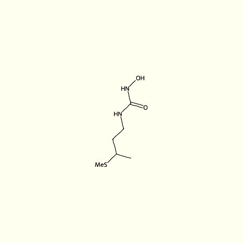 CSC(C)CCNC(=O)NO